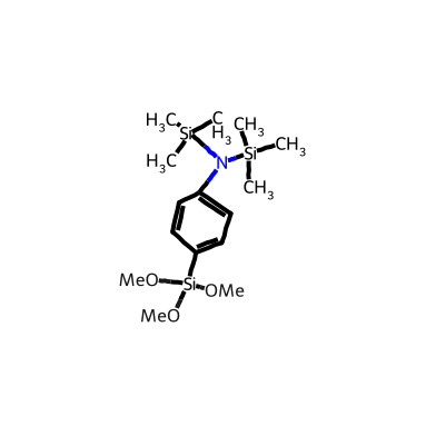 CO[Si](OC)(OC)c1ccc(N([Si](C)(C)C)[Si](C)(C)C)cc1